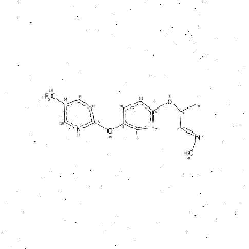 CC(C=NO)Oc1ccc(Oc2ccc(C(F)(F)F)cn2)cc1